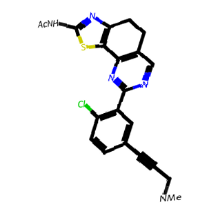 CNCC#Cc1ccc(Cl)c(-c2ncc3c(n2)-c2sc(NC(C)=O)nc2CC3)c1